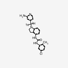 [2H]C([2H])(c1ccnc(N)c1)N1CCc2c(NC(=O)Nc3cc(Cl)ccc3C)cccc21